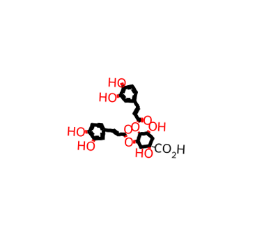 O=C(/C=C/c1ccc(O)c(O)c1)OC1C[C@@](O)(C(=O)O)CC(O)[C@@H]1OC(=O)/C=C/c1ccc(O)c(O)c1